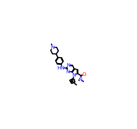 C[C@@H]1C2CC1(n1c(C(=O)N(C)C)cc3cnc(Nc4ccc(C5CCN(C)CC5)cc4)nc31)C2